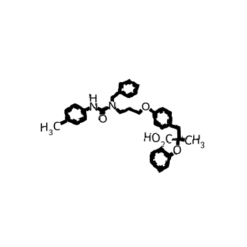 Cc1ccc(NC(=O)N(CCCOc2ccc(C[C@](C)(Oc3ccccc3)C(=O)O)cc2)Cc2ccccc2)cc1